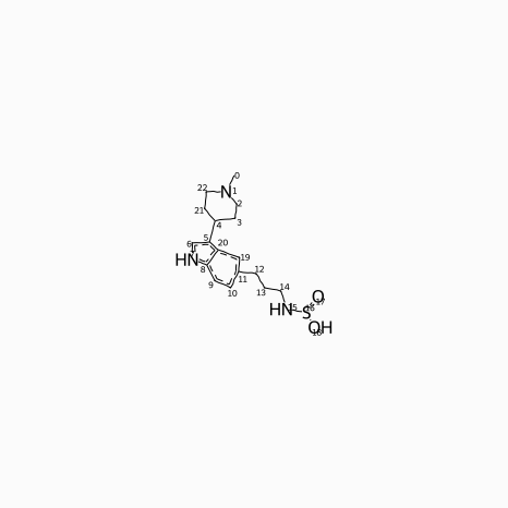 CN1CCC(c2c[nH]c3ccc(CCCNS(=O)O)cc23)CC1